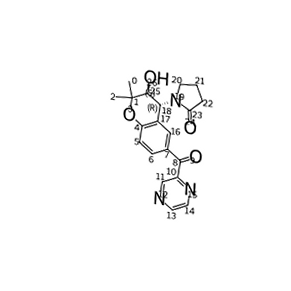 CC1(C)Oc2ccc(C(=O)c3cnccn3)cc2[C@@H](N2CCCC2=O)[C@@H]1O